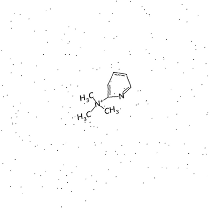 C[N+](C)(C)c1ccccn1